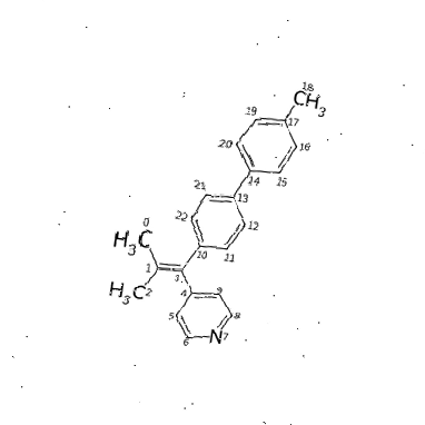 CC(C)=C(c1ccncc1)c1ccc(-c2ccc(C)cc2)cc1